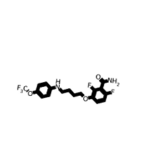 NC(=O)c1c(F)ccc(OCCCCNc2ccc(OC(F)(F)F)cc2)c1F